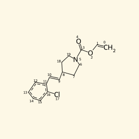 C=COC(=O)N1CCC(C=Cc2ccccc2Cl)CC1